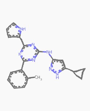 Cc1ccccc1-c1nc(Nc2cc(C3CC3)[nH]n2)nc(-c2ccc[nH]2)n1